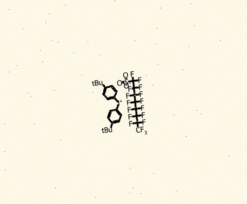 CC(C)(C)c1ccc([I+]c2ccc(C(C)(C)C)cc2)cc1.O=S(=O)([O-])C(F)(F)C(F)(F)C(F)(F)C(F)(F)C(F)(F)C(F)(F)C(F)(F)C(F)(F)F